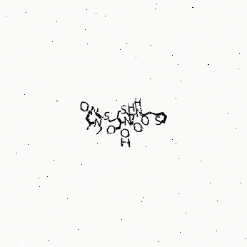 CCn1c(C)cc(=O)nc1SCC1=C(C(=O)O)N2C(=O)[C@@H](NC(=O)Cc3cccs3)[C@H]2SC1